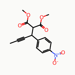 CC#CC(c1ccc([N+](=O)[O-])cc1)C(C(=O)OC)C(=O)OC